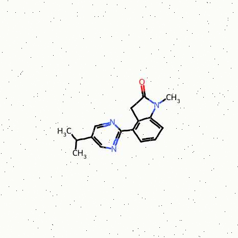 CC(C)c1cnc(-c2cccc3c2CC(=O)N3C)nc1